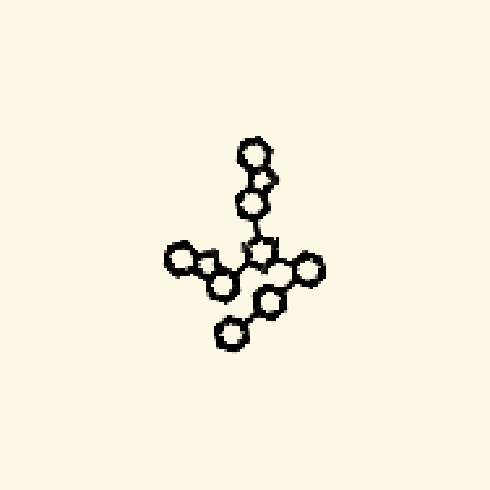 c1ccc(-c2ccc(-c3ccccc3-c3nc(-c4ccc5c(c4)oc4ccccc45)nc(-c4cccc5c4oc4ccccc45)n3)cc2)cc1